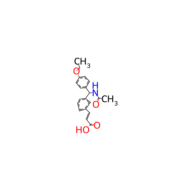 CCOc1ccc(C(NC(C)=O)c2cccc(/C=C/C(=O)O)c2)cc1